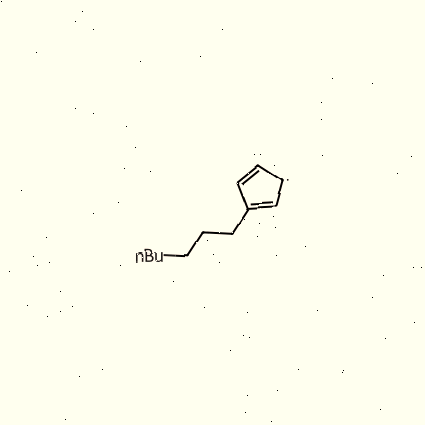 CCCCCCCC1=C[CH]C=C1